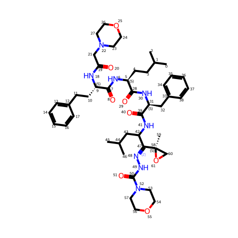 CC(C)CC[C@H](NC(=O)[C@H](CCc1ccccc1)NC(=O)CN1CCOCC1)C(=O)N[C@@H](Cc1ccccc1)C(=O)NC(CC(C)C)/C(=N/NC(=O)N1CCOCC1)[C@@]1(C)CO1